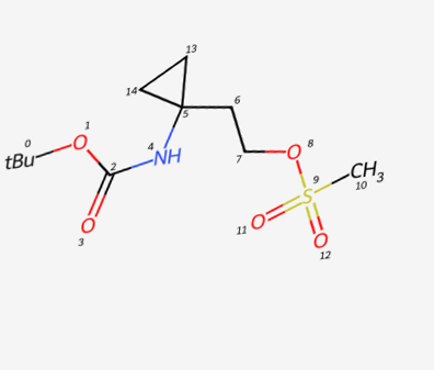 CC(C)(C)OC(=O)NC1(CCOS(C)(=O)=O)CC1